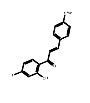 COc1ccc(/C=C/C(=O)c2ccc(F)cc2O)cc1